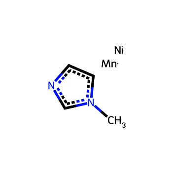 Cn1ccnc1.[Mn].[Ni]